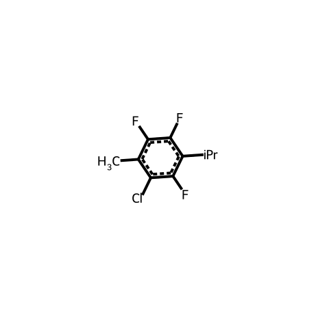 Cc1c(F)c(F)c(C(C)C)c(F)c1Cl